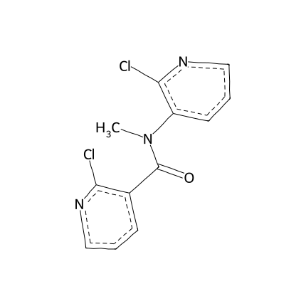 CN(C(=O)c1cccnc1Cl)c1cccnc1Cl